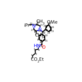 CCOC(=O)CCCCNC(=O)c1ccc([C@H](c2cccc(OC)c2)N2C[C@@H](C)N(CC(C)C)C[C@@H]2C)cc1